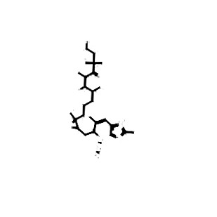 CC(=Cc1csc(C)n1)C(CC1OC1(C)CCCC(C)C(O)C(C)C(=O)C(C)(C)CCC(=O)O)N=[N+]=[N-]